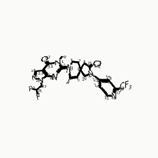 Cn1c(N2CCC3(CC2)CC(=O)N(c2ccnc(C(F)(F)F)c2)C3)nc2c(cnn2CC(F)F)c1=O